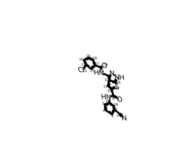 N#Cc1cccc(NC(=O)c2cc3c(NC(=O)c4cccc(Cl)c4)n[nH]c3s2)c1